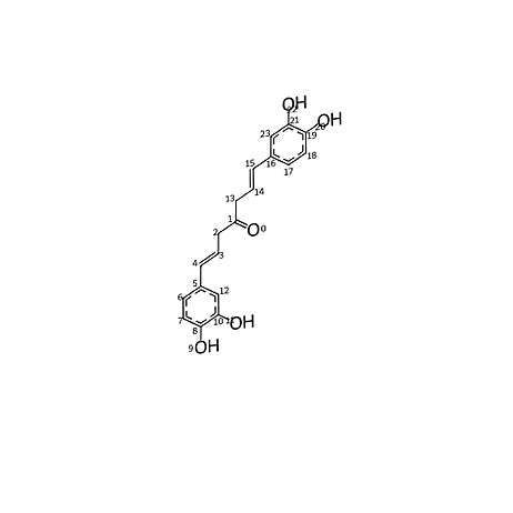 O=C(CC=Cc1ccc(O)c(O)c1)CC=Cc1ccc(O)c(O)c1